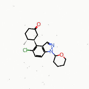 C[C@@H]1CCC(=O)C[C@H]1c1c(Cl)ccc2c1cnn2C1CCCCO1